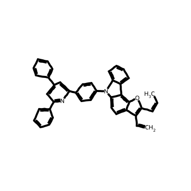 C=Cc1c(/C=C\C)oc2c1ccc1c2c2ccccc2n1-c1ccc(-c2cc(-c3ccccc3)cc(-c3ccccc3)n2)cc1